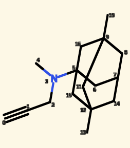 C#CCN(C)C12CC3CC(C)(CC(C)(C3)C1)C2